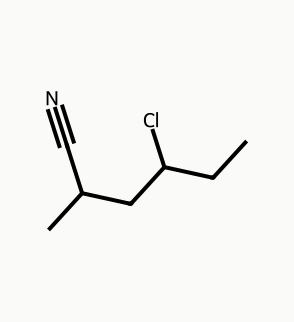 CCC(Cl)CC(C)C#N